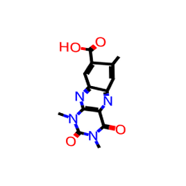 Cc1cc2nc3c(=O)n(C)c(=O)n(C)c3nc2cc1C(=O)O